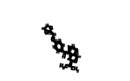 CN(C)c1cc2c(Nc3ccc(OCC4OCCO4)cc3)ncnc2cn1